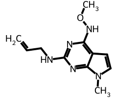 C=CCNc1nc(NOC)c2ccn(C)c2n1